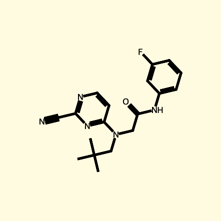 CC(C)(C)CN(CC(=O)Nc1cccc(F)c1)c1ccnc(C#N)n1